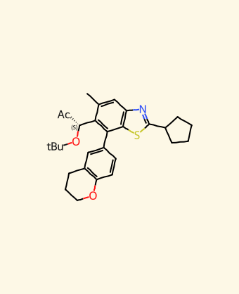 CC(=O)[C@@H](OC(C)(C)C)c1c(C)cc2nc(C3CCCC3)sc2c1-c1ccc2c(c1)CCCO2